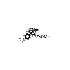 COCCOCCC(C(=O)OC)(C(=O)OC)c1ccc([N+](=O)[O-])cc1